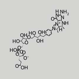 C[C@@H]1Nc2nc(N)[nH]c(=O)c2[N+]2=CN(c3ccc(C[C@H](O)[C@H](O)[C@H](O)CO[C@H]4O[C@H](COP(=O)(O)O[C@@H](CCC(=O)O)C(=O)[O-])[C@@H](O)[C@H]4O)cc3)[C@H](C)[C@@H]12